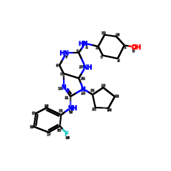 OC1CCC(NC2NCC3N=C(Nc4ccccc4F)N(C4CCCC4)C3N2)CC1